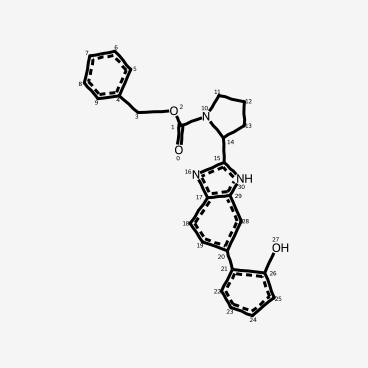 O=C(OCc1ccccc1)N1CCCC1c1nc2ccc(-c3ccccc3O)cc2[nH]1